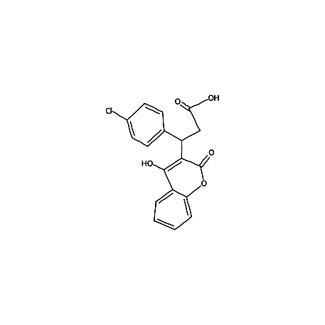 O=C(O)CC(c1ccc(Cl)cc1)c1c(O)c2ccccc2oc1=O